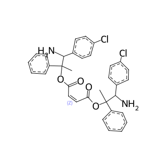 CC(OC(=O)/C=C\C(=O)OC(C)(c1ccccc1)C(N)c1ccc(Cl)cc1)(c1ccccc1)C(N)c1ccc(Cl)cc1